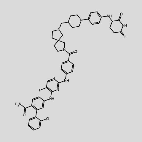 NC(=O)c1ccc(Nc2nc(Nc3ccc(C(=O)N4CCC5(CCN(CC6CCN(c7ccc(NC8CCC(=O)NC8=O)cc7)CC6)C5)C4)cc3)ncc2F)cc1-c1ccccc1Cl